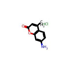 Cc1cc(=O)oc2cc(N)ccc12.Cl